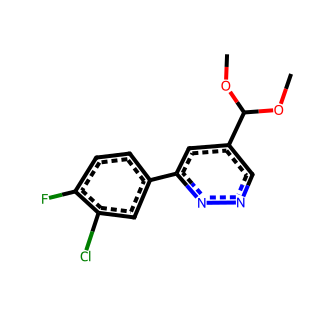 COC(OC)c1cnnc(-c2ccc(F)c(Cl)c2)c1